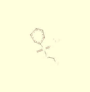 O=S(=O)(NCCl)c1ccccc1.[NaH]